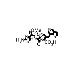 CO/N=C(\C(=O)NC1C(=O)N2C(C(=O)O)=C(Cc3cncc4ccsc34)CS[C@H]12)c1csc(N)n1